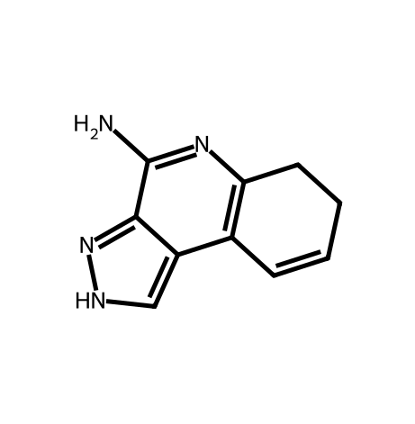 Nc1nc2c(c3c[nH]nc13)C=CCC2